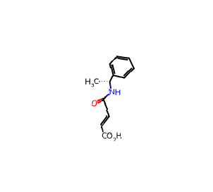 C[C@@H](NC(=O)C=CC(=O)O)c1ccccc1